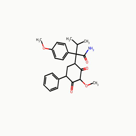 COc1ccc(C(C(N)=O)(C(C)C)C2CC(c3ccccc3)C(=O)C(OC)C2=O)cc1